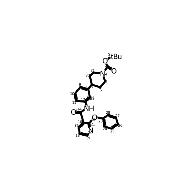 CC(C)(C)OC(=O)N1CCC(c2cccc(NC(=O)c3cccnc3Oc3ccccc3)c2)CC1